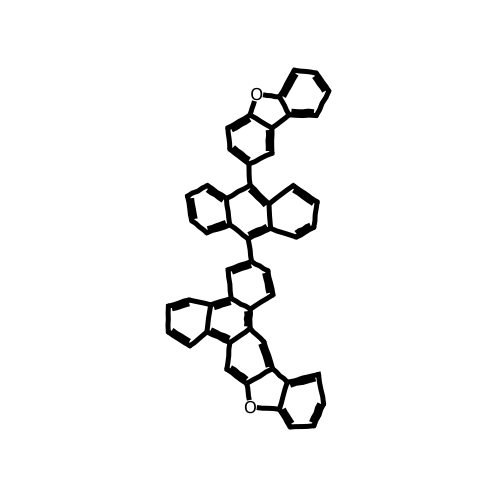 c1ccc2c(c1)oc1ccc(-c3c4ccccc4c(-c4ccc5c(c4)c4ccccc4c4cc6oc7ccccc7c6cc54)c4ccccc34)cc12